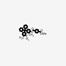 COC(=O)c1ccc(C(=O)Oc2ccc(C(c3ccccc3)(c3ccccc3)c3ccc(C)c(C)c3)cc2C)cc1